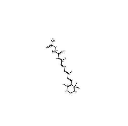 CC1=C(/C=C/C(C)=C/C=C/C(C)=C/C(=O)NCC(=O)O)C(C)(C)CCC1